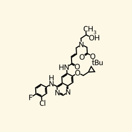 CC(O)CN(CC=CC(=O)Nc1cc2c(Nc3ccc(F)c(Cl)c3)ncnc2cc1OCC1CC1)CC(=O)OC(C)(C)C